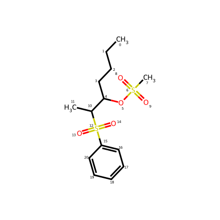 CCCCC(OS(C)(=O)=O)C(C)S(=O)(=O)c1ccccc1